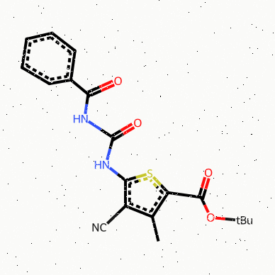 Cc1c(C(=O)OC(C)(C)C)sc(NC(=O)NC(=O)c2ccccc2)c1C#N